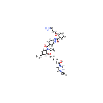 Cc1ccc(N(C)C(=O)c2ccc(NC(=O)c3ccccc3OCCCN)cc2)c(OCCCCCC(=O)N2CCN(C)CC2)c1